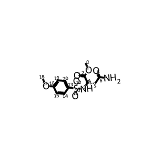 COC(=O)[C@H](CC(N)=O)NS(=O)(=O)c1ccc(OC)cc1